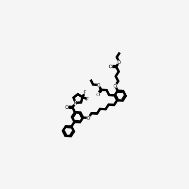 CCOC(=O)CCCOc1cccc(CCCCCCOc2cc(C(=O)N3CCC(F)(F)C3)cc(-c3ccccc3)c2)c1CCC(=O)OCC